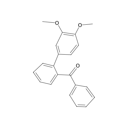 COc1ccc(-c2ccccc2C(=O)c2ccccc2)cc1OC